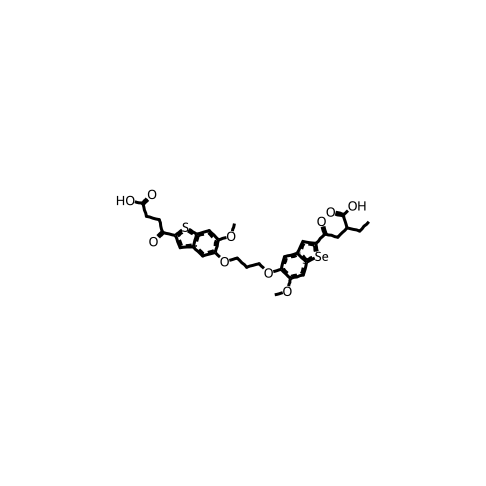 CCC(CC(=O)c1cc2cc(OCCCOc3cc4cc(C(=O)CCC(=O)O)sc4cc3OC)c(OC)cc2[se]1)C(=O)O